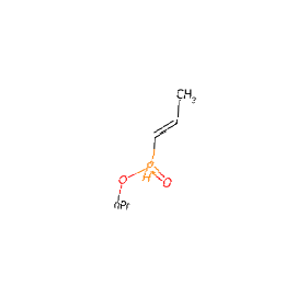 CC=C[PH](=O)OCCC